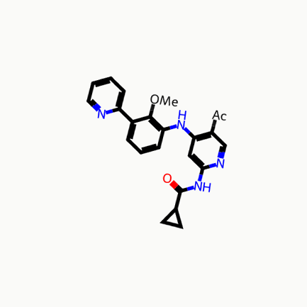 COc1c(Nc2cc(NC(=O)C3CC3)ncc2C(C)=O)cccc1-c1ccccn1